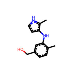 Cc1ccc(CO)cc1Nc1cc[nH]c1C